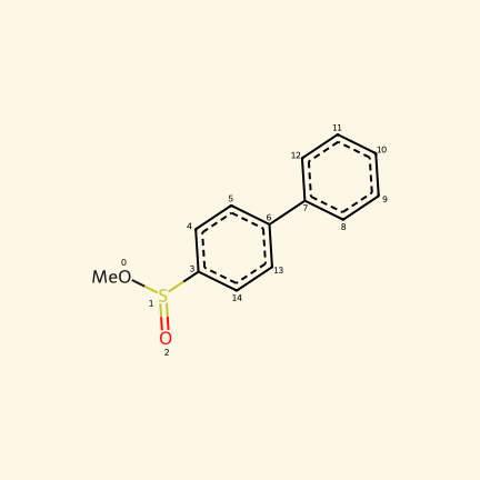 COS(=O)c1ccc(-c2ccccc2)cc1